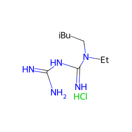 CCC(C)CN(CC)C(=N)NC(=N)N.Cl